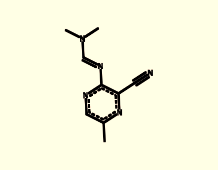 Cc1cnc(/N=C/N(C)C)c(C#N)n1